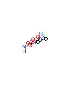 CNCCC(=O)O[C@H]1CN(c2ccc3cc(-c4ccccc4C(F)(F)F)[nH]c(=O)c3c2)C(=O)O1